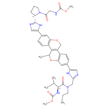 CCCN(Cc1ncc(-c2ccc3c(c2)OC(C)C2=C3COc3cc(-c4cnc([C@@H]5CCCN5C(=O)CNC(=O)OC)[nH]4)ccc32)[nH]1)C(=O)[C@@H](NC(=O)OC)C(C)C